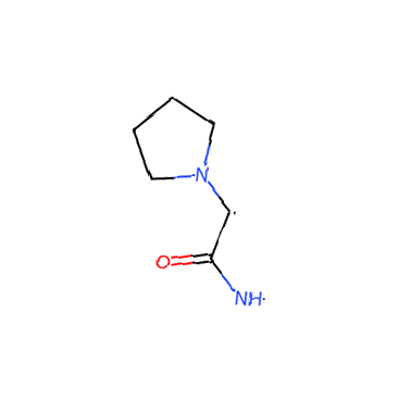 [NH]C(=O)[CH]N1CCCC1